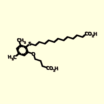 Cc1cc(C)c(SCCCCCCCCCCCC(=O)O)c(OCCCC(=O)O)c1